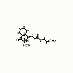 CSCCCNCCc1n[nH]c(=O)c2c1CCCC2.Cl